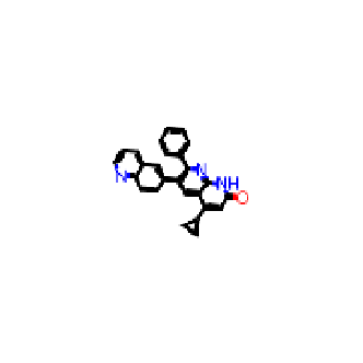 O=c1cc(C2CC2)c2cc(-c3ccc4ncccc4c3)c(-c3ccccc3)nc2[nH]1